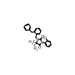 CC1(C)C(=O)N(c2ccccc2Cl)C(=O)N1Cc1ccccc1Cc1ccccc1